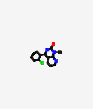 CCn1c(=O)nc(-c2ccccc2Cl)c2cccnc21